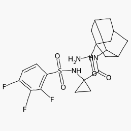 NC(=O)C12CC3CC(C1)C(NC(=O)C1(NS(=O)(=O)c4ccc(F)c(F)c4F)CC1)C(C3)C2